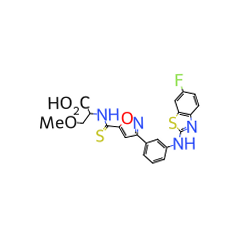 COCC(NC(=S)c1cc(-c2cccc(Nc3nc4ccc(F)cc4s3)c2)no1)C(=O)O